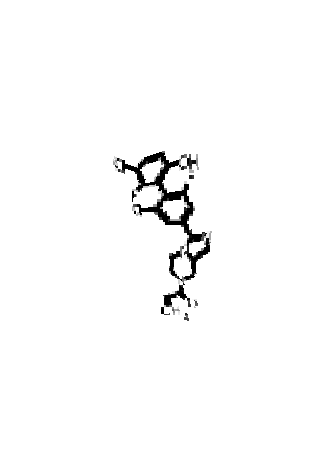 C=CC(=O)N1CCn2c(cnc2-c2cc(F)c(-c3c(O)ccc(Cl)c3F)c(Cl)c2)C1